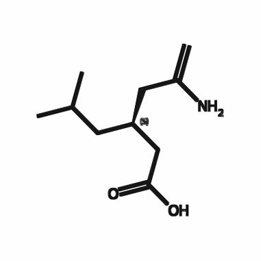 C=C(N)C[C@@H](CC(=O)O)CC(C)C